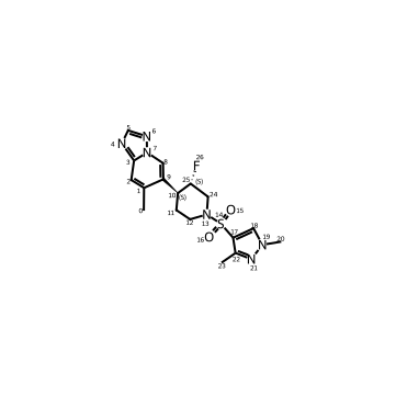 Cc1cc2ncnn2cc1[C@@H]1CCN(S(=O)(=O)c2cn(C)nc2C)C[C@H]1F